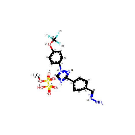 COS(=O)(=O)S(=O)(=O)O.N/N=C/c1ccc(-c2ncn(-c3ccc(OC(F)(F)F)cc3)n2)cc1